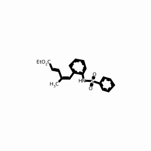 CCOC(=O)C=CC(C)=Cc1ccccc1NS(=O)(=O)c1ccccc1